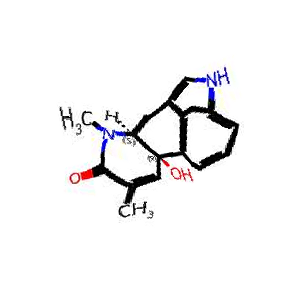 CC1=C[C@@]2(O)c3cccc4[nH]cc(c34)C[C@@H]2N(C)C1=O